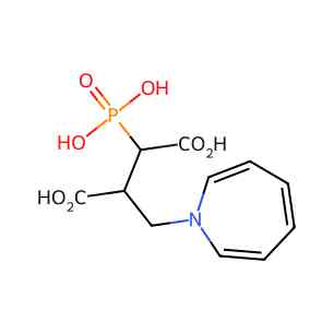 O=C(O)C(CN1C=CC=CC=C1)C(C(=O)O)P(=O)(O)O